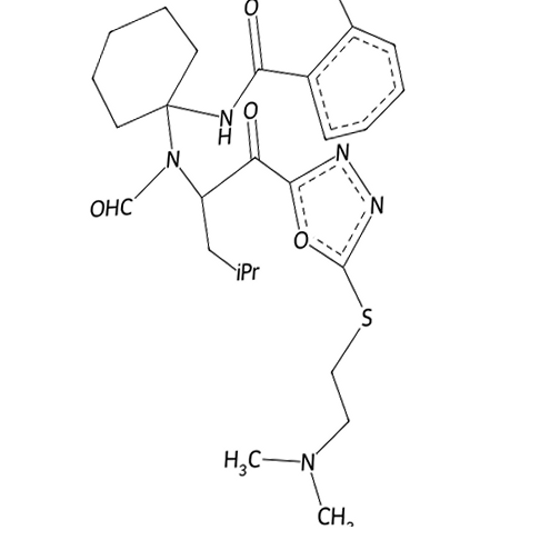 CC(C)CC(C(=O)c1nnc(SCCN(C)C)o1)N(C=O)C1(NC(=O)c2ccccc2F)CCCCC1